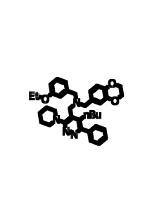 CCCCc1c(-c2ccccc2)nnc(N2CCCCC2)c1CN(Cc1cccc(OCC)c1)Cc1ccc2c(c1)OCCO2